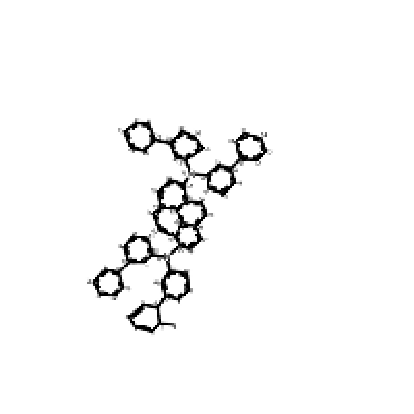 CC1C=CC=CC1c1cccc(N(c2cccc(-c3ccccc3)c2)c2ccc3ccc4c(N(c5cccc(-c6ccccc6)c5)c5cccc(-c6ccccc6)c5)ccc5ccc2c3c54)c1